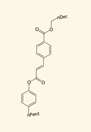 [CH2]CCCCCCCCCCOC(=O)c1ccc(/C=C/C(=O)Oc2ccc(CCCCC)cc2)cc1